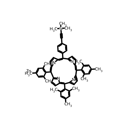 Cc1cc(C)c(-c2c3nc(c(-c4c(C)cc(C)cc4C)c4ccc([nH]4)c(-c4c(C)cc(C)cc4C)c4nc(c(-c5ccc(C#C[Si](C)(C)C)cc5)c5ccc2[nH]5)C=C4)C=C3)c(C)c1.[Zn]